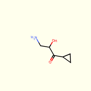 NCC(O)C(=O)C1CC1